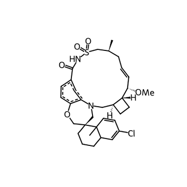 CO[C@H]1/C=C/C[C@H](C)CS(=O)(=O)NC(=O)c2ccc3c(c2)N(C[C@@H]2CC[C@H]21)C[C@@]1(CCCC2C=C(Cl)C=CC21C)CO3